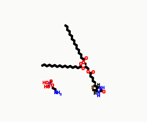 CCCCCCCCCCCCCCCC(=O)OC[C@H](COC(=O)CCCC[C@@H]1SC[C@@H]2NC(=O)N[C@@H]21)OC(=O)CCCCCCCCCCCCCCC.NCCOP(=O)(O)O